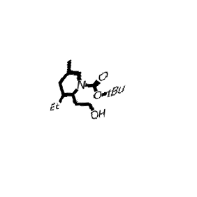 CCC1CC(C)CN(C(=O)OC(C)(C)C)C1CCO